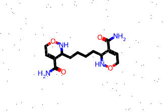 NC(=O)C1=CCONC1CCCCC1NOCC=C1C(N)=O